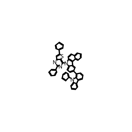 c1ccc(-c2nc(-n3c4ccc(-c5cccc6c7ccccc7n(-c7ccccc7)c56)cc4c4c5ccccc5ccc43)c3sc(-c4ccccc4)cc3n2)cc1